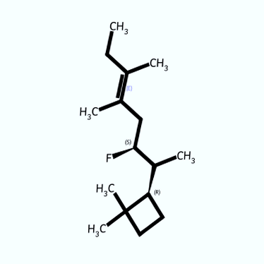 CC/C(C)=C(\C)C[C@H](F)C(C)[C@H]1CCC1(C)C